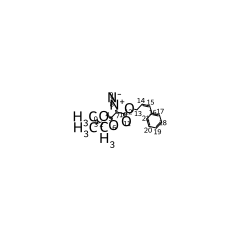 CC(C)(C)OC(=O)C(=[N+]=[N-])C(=O)OC/C=C\c1ccccc1